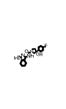 O=C(Nc1n[nH]c2ccccc12)N1CCC(O)(c2ccc(F)cc2)C1